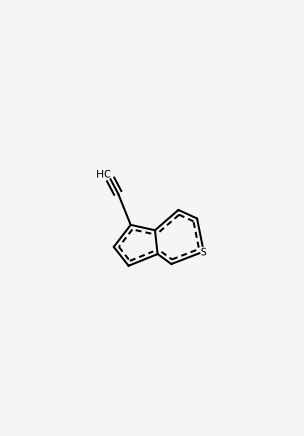 C#Cc1ccc2csccc1-2